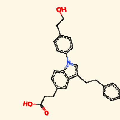 O=C(O)CCc1ccc2c(c1)c(CCc1ccccc1)cn2-c1ccc(CCO)cc1